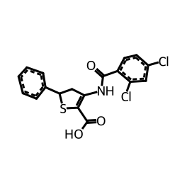 O=C(O)C1=C(NC(=O)c2ccc(Cl)cc2Cl)CC(c2ccccc2)S1